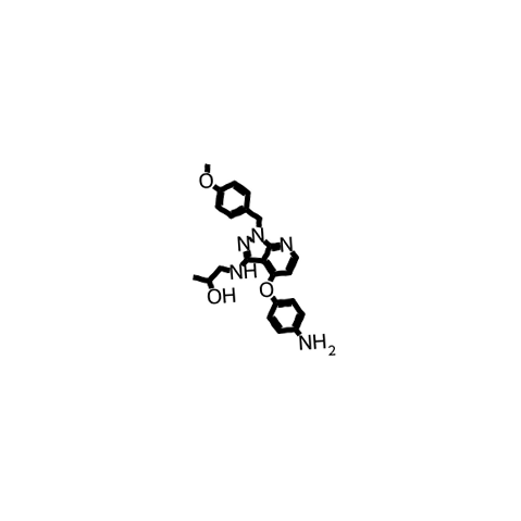 COc1ccc(Cn2nc(NCC(C)O)c3c(Oc4ccc(N)cc4)ccnc32)cc1